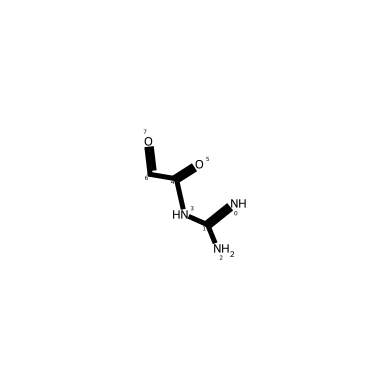 N=C(N)NC(=O)C=O